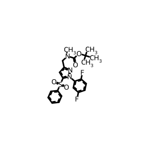 CN(Cc1cc(S(=O)(=O)c2ccccc2)n(-c2cc(F)ccc2F)n1)C(=O)OC(C)(C)C